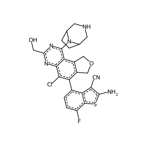 N#Cc1c(N)sc2c(F)ccc(-c3c4c(c5c(N6C7CCC6CNC7)nc(CO)nc5c3Cl)COC4)c12